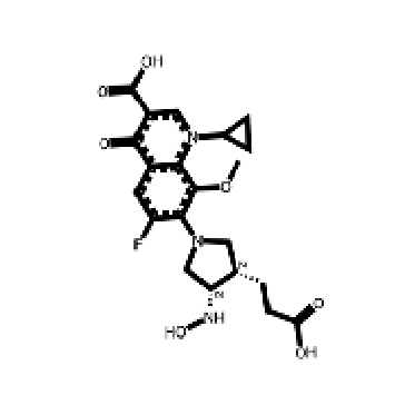 COc1c(N2C[C@H](CCC(=O)O)[C@H](NO)C2)c(F)cc2c(=O)c(C(=O)O)cn(C3CC3)c12